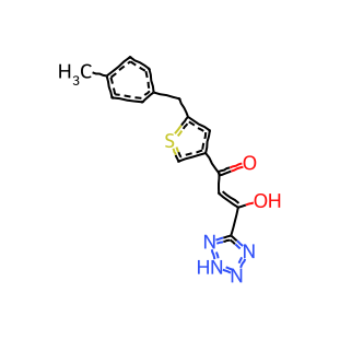 Cc1ccc(Cc2cc(C(=O)C=C(O)c3nn[nH]n3)cs2)cc1